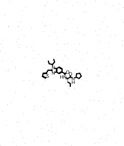 CCC[C@H](NC(=O)c1ccc2c(c1)nc(Cc1cccs1)n2C(CC)CC)C(=O)NC1CCCC1